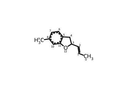 CC=CC1Cc2ccc(C)cc2O1